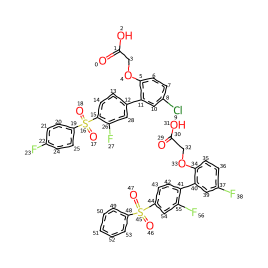 O=C(O)COc1ccc(Cl)cc1-c1ccc(S(=O)(=O)c2ccc(F)cc2)c(F)c1.O=C(O)COc1ccc(F)cc1-c1ccc(S(=O)(=O)c2ccccc2)cc1F